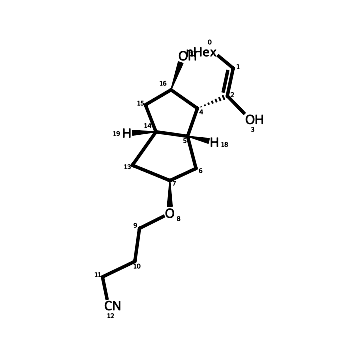 CCCCCC/C=C(/O)[C@@H]1[C@@H]2C[C@@H](OCCCC#N)C[C@@H]2C[C@H]1O